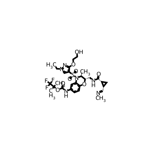 CCn1cc(S(=O)(=O)N2c3cc(NC(=O)OC(C)(C)C(F)(F)F)ccc3O[C@@H](CNC(=O)[C@@H]3C[C@@H]3C=NC)[C@H]2C)c(OCCO)n1